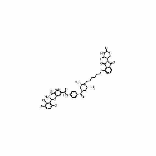 CC(Oc1cc(C(=O)Nc2ccc(C(=O)N3C[C@@H](C)N(CCCCCCSc4cccc5c4C(=O)N(C4CCC(=O)NC4=O)C5=O)[C@@H](C)C3)cc2)nnc1N)c1c(Cl)ccc(F)c1Cl